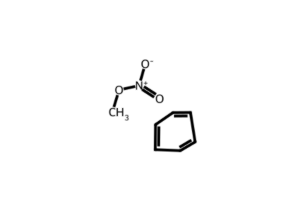 CO[N+](=O)[O-].c1ccccc1